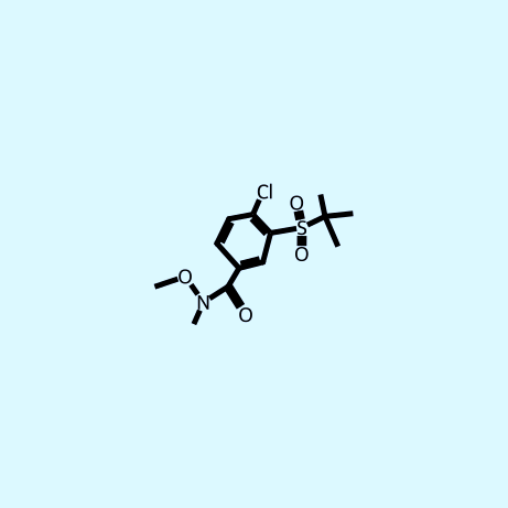 CON(C)C(=O)c1ccc(Cl)c(S(=O)(=O)C(C)(C)C)c1